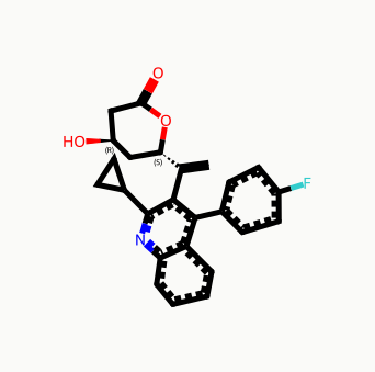 C=C(c1c(C2CC2)nc2ccccc2c1-c1ccc(F)cc1)[C@@H]1C[C@@H](O)CC(=O)O1